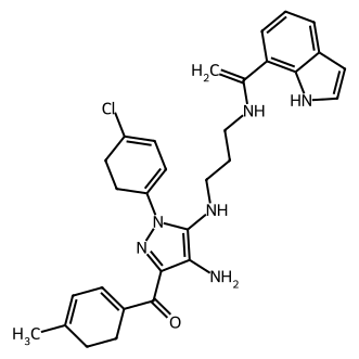 C=C(NCCCNc1c(N)c(C(=O)C2=CC=C(C)CC2)nn1C1=CC=C(Cl)CC1)c1cccc2cc[nH]c12